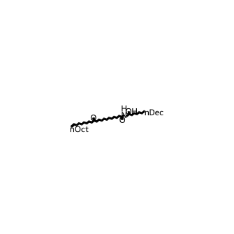 CCCCCCCC/C=C\CCCCCCCC(=O)CCCCCCCCCCC(=O)NCC(O)CCCCCCCCCCCCCCCC